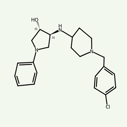 O[C@H]1CN(c2ccccc2)C[C@@H]1NC1CCN(Cc2ccc(Cl)cc2)CC1